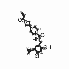 C=CC(=O)N1CC(N2CCN(C(=O)NCc3cc(C4CC4)c(Cl)cc3O)CC2)C1